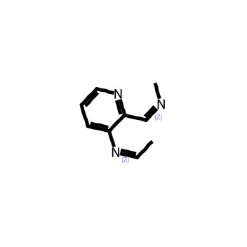 C/C=N\c1cccnc1/C=N\C